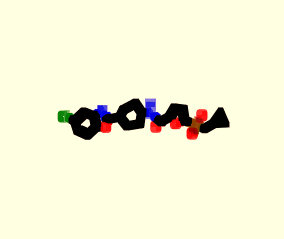 O=C(NC1CCC(c2nc3cc(Cl)ccc3o2)CC1)c1ccc(S(=O)(=O)CC2CC2)o1